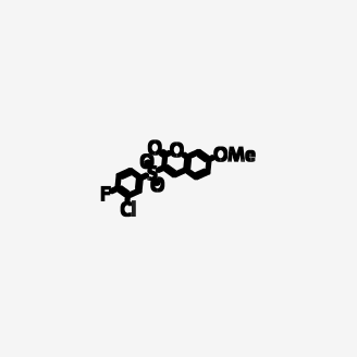 COc1ccc2cc(S(=O)(=O)c3ccc(F)c(Cl)c3)c(=O)oc2c1